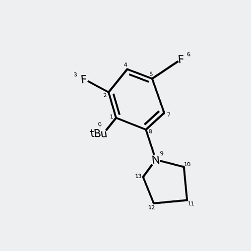 CC(C)(C)c1c(F)cc(F)cc1N1CCCC1